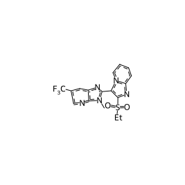 CCS(=O)(=O)c1nc2ccccn2c1-c1nc2cc(C(F)(F)F)cnc2n1C